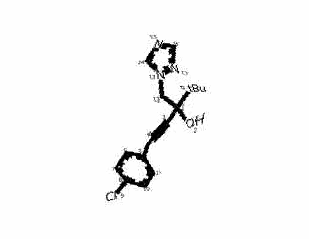 CC(C)(C)C(O)(C#Cc1ccc(Cl)cc1)Cn1cncn1